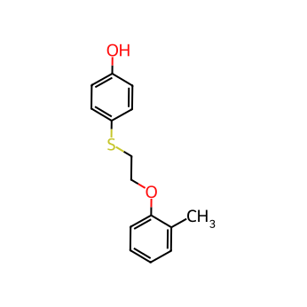 Cc1ccccc1OCCSc1ccc(O)cc1